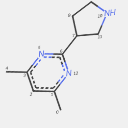 Cc1cc(C)nc(C2CCNC2)n1